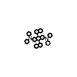 C1=CC(N(c2ccccc2)c2ccc3c(-c4cccc5ccccc45)c4cc(N(c5ccccc5)c5ccccc5)ccc4c(-c4cccc5ccccc45)c3c2)=CCC1